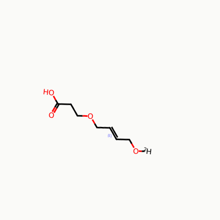 [2H]OC/C=C/COCCC(=O)O